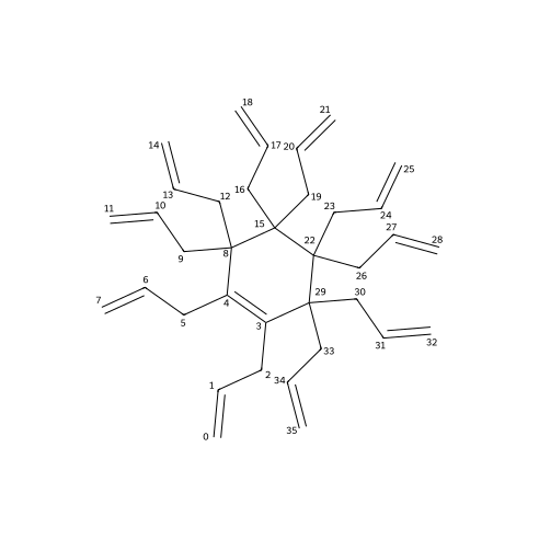 C=CCC1=C(CC=C)C(CC=C)(CC=C)C(CC=C)(CC=C)C(CC=C)(CC=C)C1(CC=C)CC=C